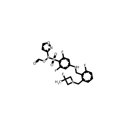 CC1(F)CN(Cc2cccc(F)c2CNc2cc(F)c(S(=O)(=O)N(OC=O)c3ccon3)c(F)c2)C1